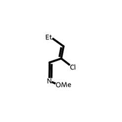 CC/C=C(Cl)\C=N/OC